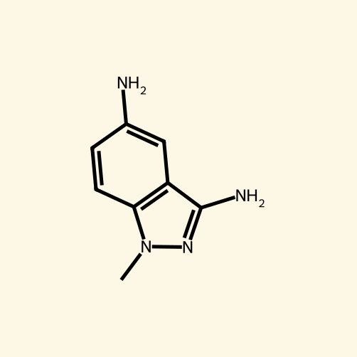 Cn1nc(N)c2cc(N)ccc21